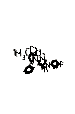 CC1(C)C[C@@H](c2ccccc2)N(c2cc3cnn(-c4ccc(F)cc4)c3cn2)C1=O